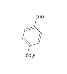 O=[C]c1ccc(C(=O)O)cc1